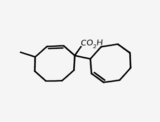 CC1C=CC(C(=O)O)(C2C=CCCCCC2)CCCC1